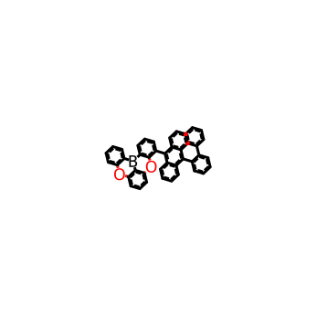 c1ccc(-c2ccccc2-c2c3ccccc3c(-c3cccc4c3Oc3cccc5c3B4c3ccccc3O5)c3ccccc23)cc1